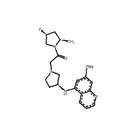 COc1cc(N[C@H]2CCN(CC(=O)N3C[C@@H](F)C[C@H]3C)C2)c2cccnc2c1